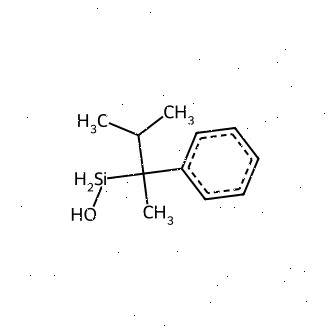 CC(C)C(C)([SiH2]O)c1ccccc1